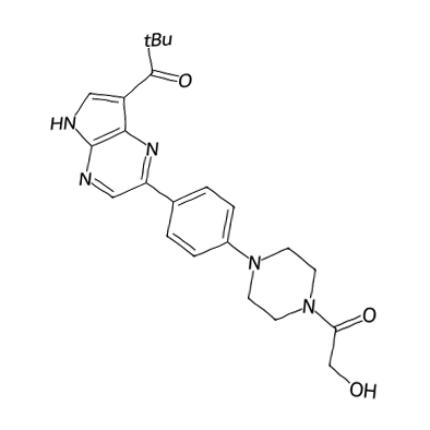 CC(C)(C)C(=O)c1c[nH]c2ncc(-c3ccc(N4CCN(C(=O)CO)CC4)cc3)nc12